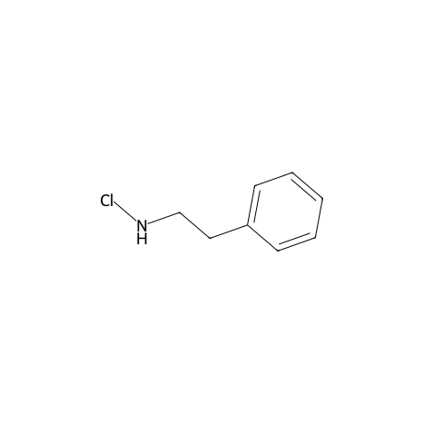 ClNCCc1ccccc1